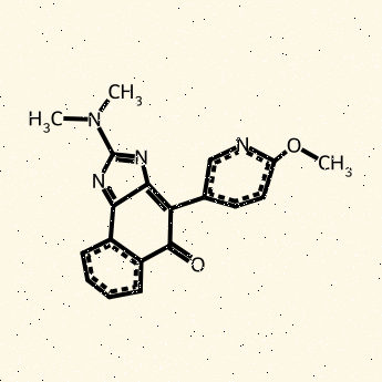 COc1ccc(C2=C3N=C(N(C)C)N=C3c3ccccc3C2=O)cn1